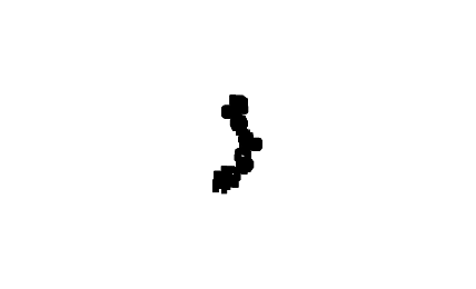 O=C(c1nccs1)N1CCN([C@@H]2CC(=O)N(c3ccc4c(c3)CCN4c3cnc(C(F)(F)F)nc3)C2)CC1